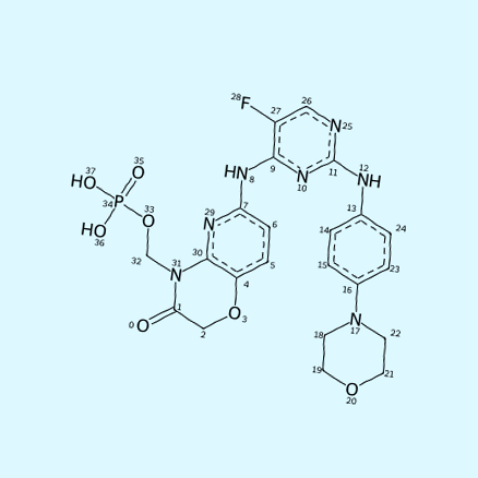 O=C1COc2ccc(Nc3nc(Nc4ccc(N5CCOCC5)cc4)ncc3F)nc2N1COP(=O)(O)O